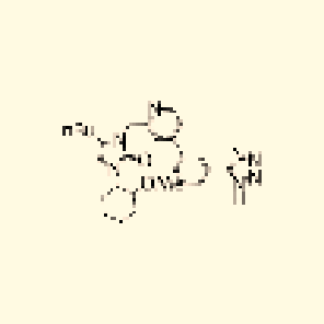 CCCCc1cn(C2CCCCC2OC)c(=O)n1Cc1cc(-c2cccc(-c3nnn[nH]3)c2)ccn1